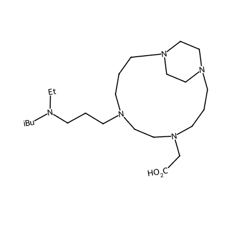 CCC(C)N(CC)CCCN1CCCN2CCN(CCCN(CC(=O)O)CC1)CC2